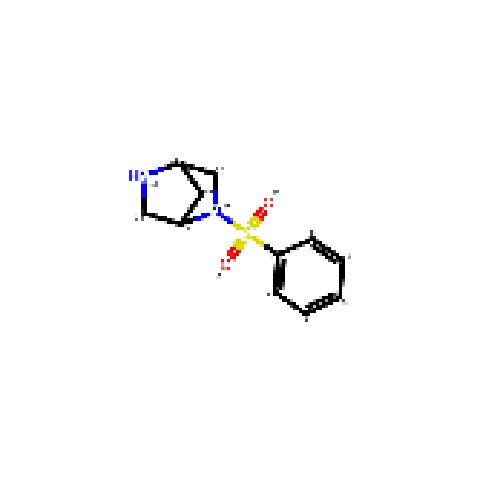 O=S(=O)(c1ccccc1)N1CC2CC1CN2